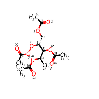 CC(=O)OC[C@@H](OOC(C)=O)C(OC(C)=O)C(C)OC(C)=O